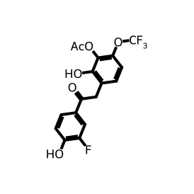 CC(=O)Oc1c(OC(F)(F)F)ccc(CC(=O)c2ccc(O)c(F)c2)c1O